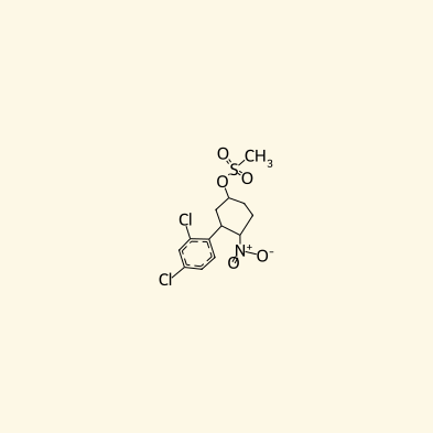 CS(=O)(=O)OC1CCC([N+](=O)[O-])C(c2ccc(Cl)cc2Cl)C1